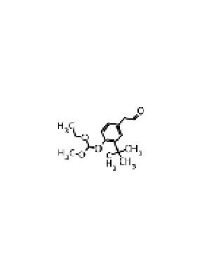 CCOC(OC)Oc1ccc(CC=O)cc1C(C)(C)C